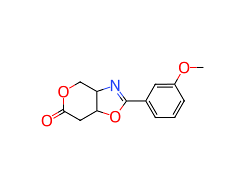 COc1cccc(C2=NC3COC(=O)CC3O2)c1